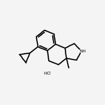 CC12CCc3c(C4CC4)cccc3C1CNC2.Cl